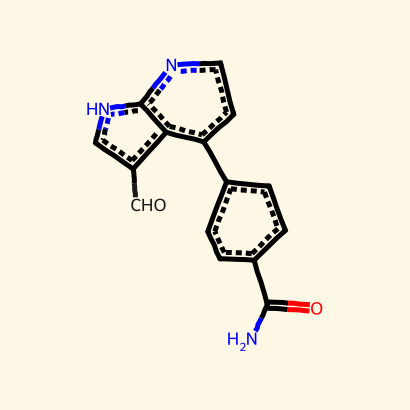 NC(=O)c1ccc(-c2ccnc3[nH]cc(C=O)c23)cc1